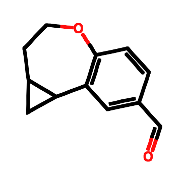 O=Cc1ccc2c(c1)C1CC1CCO2